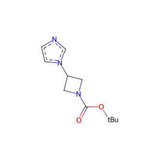 CC(C)(C)OC(=O)N1CC(n2ccnc2)C1